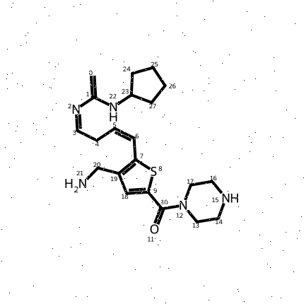 C=C(/N=C\C/C=C\c1sc(C(=O)N2CCNCC2)cc1CN)NC1CCCC1